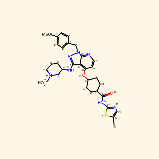 COc1ccc(Cn2nc(N[C@@H]3CCCN(C(=O)O)C3)c3c(OC4CCC(C(=O)Nc5ncc(C)s5)CC4)ccnc32)cc1